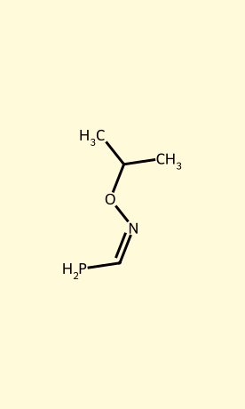 CC(C)O/N=C\P